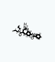 CCCN(CCC)C(=O)C1=Cc2ccc(NC(=O)c3ccccc3)cc2N=C(N)C1